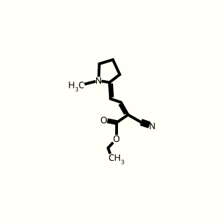 CCOC(=O)/C(C#N)=C\C=C1/CCCN1C